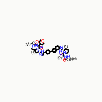 CC[C@@H]1CCCN(C(=O)[C@@H](NC(=O)OC)C(C)C)[C@@H]1c1nc2ccc3cc(-c4ccc(-c5cnc([C@@H]6C[C@H]7C(C)=C7N6C(=O)[C@@H](NC(=O)OC)C6CCOCC6)[nH]5)cc4)ccc3c2[nH]1